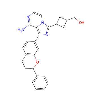 Nc1nccn2c(C3CC(CO)C3)nc(-c3ccc4c(c3)OC(c3ccccc3)CC4)c12